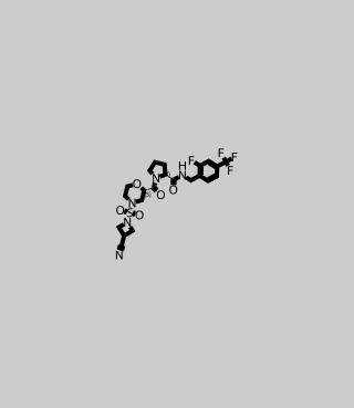 N#CC1CN(S(=O)(=O)N2CCO[C@H](C(=O)N3CCC[C@@H]3C(=O)NCc3ccc(C(F)(F)F)cc3F)C2)C1